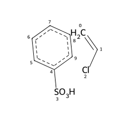 C=CCl.O=S(=O)(O)c1ccccc1